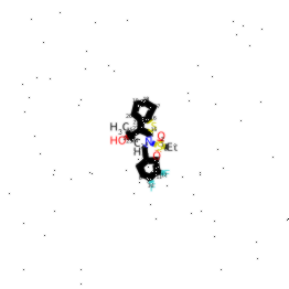 CCS(=O)(=O)N(Cc1ccc(F)c(F)c1)c1sc2ccccc2c1C(C)(C)O